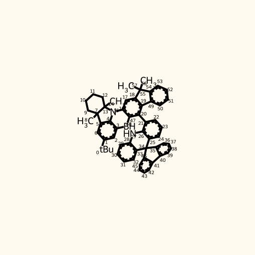 CC(C)(C)c1cc2c3c(c1)C1(C)CCCCC1(C)N3c1cc3c(c(-c4cccc5c4Nc4ccccc4C54c5ccccc5-c5ccccc54)c1B2)-c1ccccc1C3(C)C